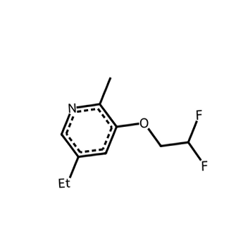 CCc1cnc(C)c(OCC(F)F)c1